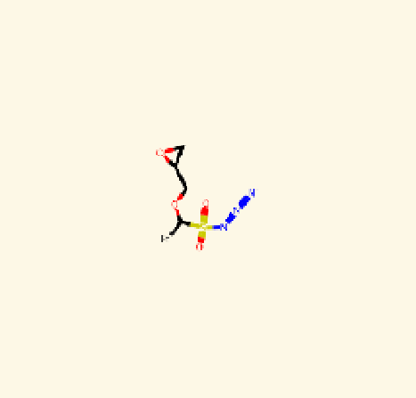 CCC(OCC1CO1)S(=O)(=O)N=[N+]=[N-]